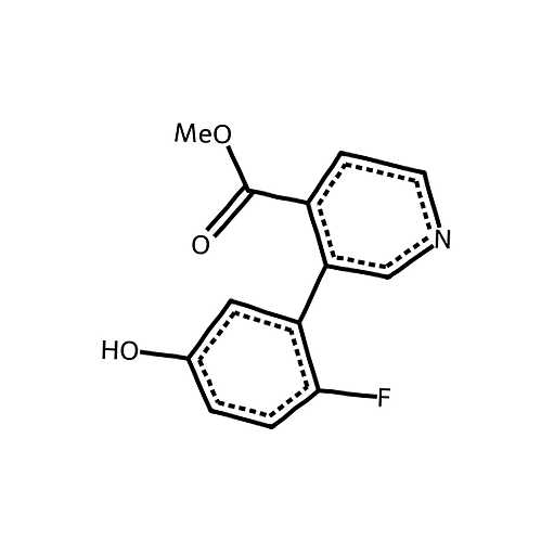 COC(=O)c1ccncc1-c1cc(O)ccc1F